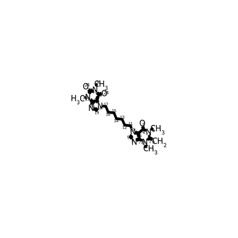 C=C1N(C)C(=O)c2c(ncn2CCCCCCCn2cnc3c2c(=O)n(C)c(=O)n3C)N1C